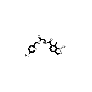 Cc1c(C(=O)NCC(=O)OCc2ccc(C#N)cn2)ccc2c1B(O)OC2